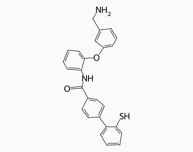 NCc1cccc(Oc2ccccc2NC(=O)c2ccc(-c3ccccc3S)cc2)c1